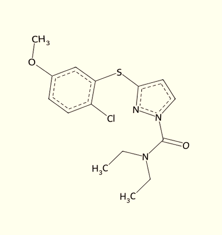 CCN(CC)C(=O)n1ccc(Sc2cc(OC)ccc2Cl)n1